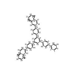 c1ccc(-c2ccc(-c3cc(-c4ccc(-c5ccc6nccnc6c5)cc4)cc(-c4ccc(-c5ccc6nccnc6c5)cc4)c3)cc2)cc1